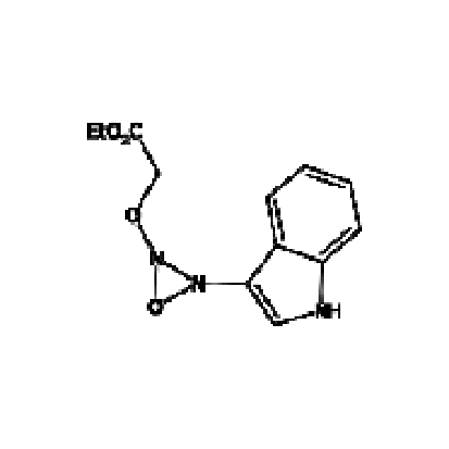 CCOC(=O)COn1on1-c1c[nH]c2ccccc12